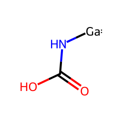 O=C(O)[NH][Ga]